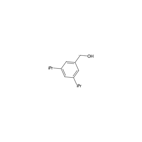 CC(C)c1cc([CH]O)cc(C(C)C)c1